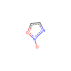 [O-][n+]1nc[c]o1